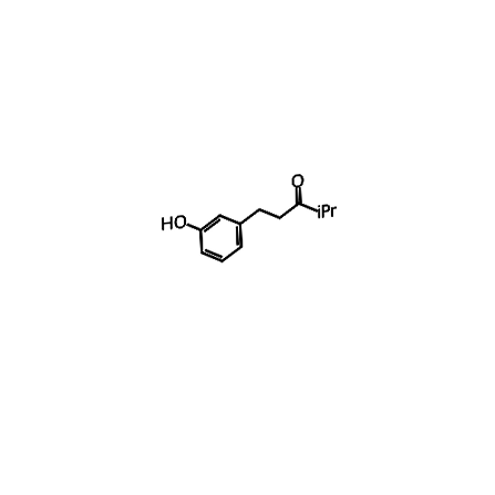 CC(C)C(=O)CCc1cccc(O)c1